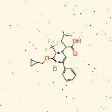 CC(C)CC(C(=O)O)c1cc(-c2ccccc2)c(Cl)c(OCC2CC2)c1C(F)(F)F